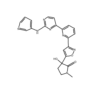 CN1CCC(O)(c2cc(-c3cccc(-c4ccnc(Nc5cccnc5)n4)n3)no2)C1=O